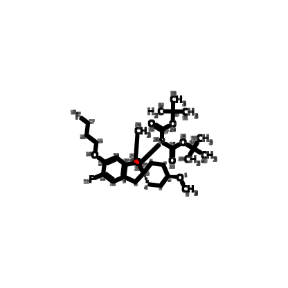 CO[C@H]1CC[C@]2(CC1)Cc1cc(F)c(OCCCF)cc1[C@]21N=C(C)C(N(C(=O)OC(C)(C)C)C(=O)OC(C)(C)C)=N1